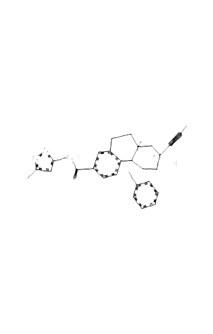 CC#C[C@@]1(O)CC[C@@]2(Cc3ccccc3)c3ccc(C(=O)Nc4cc(C)[nH]n4)cc3CC[C@@H]2C1